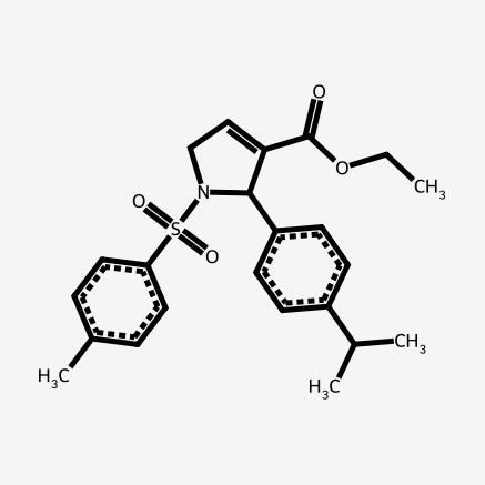 CCOC(=O)C1=CCN(S(=O)(=O)c2ccc(C)cc2)C1c1ccc(C(C)C)cc1